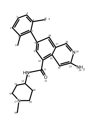 Cc1cccc(F)c1-c1cc(C(=O)NC2CCN(C)CC2)c2cc(N)ncc2c1